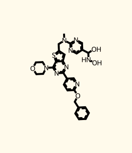 CN(Cc1cc2nc(-c3ccc(OCc4ccccc4)nc3)nc(N3CCOCC3)c2s1)c1ncc(C(O)NO)cn1